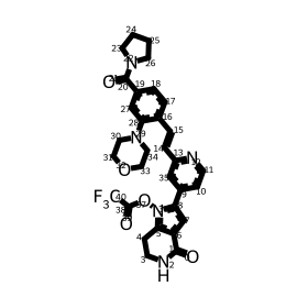 O=C1NCCc2c1cc(-c1ccnc(C=Cc3ccc(C(=O)N4CCCC4)cc3N3CCOCC3)c1)n2OC(=O)C(F)(F)F